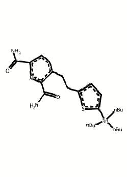 CCC[CH2][Sn]([CH2]CCC)([CH2]CCC)[c]1ccc(CCc2ccc(C(N)=O)nc2C(N)=O)s1